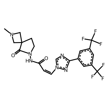 CN1CC2(CCN(NC(=O)/C=C\n3cnc(-c4cc(C(F)(F)F)cc(C(F)(F)F)c4)n3)C2=O)C1